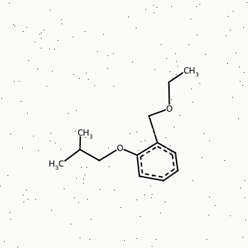 CCOCc1ccccc1OCC(C)C